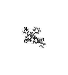 O=C(CN1c2nc(-c3ccncc3)cc(=O)n2CCC12CCN(C(=O)C1CCC1)CC2)c1ccccc1